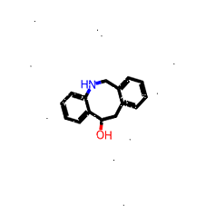 OC1Cc2ccccc2CNc2ccccc21